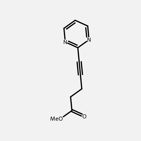 COC(=O)CCC#Cc1ncccn1